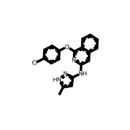 Cc1cc(Nc2cc3ccccc3c(Oc3ccc(Cl)cc3)n2)n[nH]1